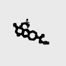 C[C@H](F)CN1C(=O)COc2cc3c(cc21)CCN(C(=O)OC(C)(C)C)CC3